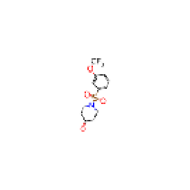 O=C1CCN(S(=O)(=O)c2cccc(OC(F)(F)F)c2)CC1